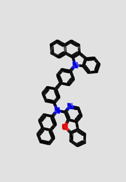 c1cc(-c2ccc(-n3c4ccccc4c4ccc5ccccc5c43)cc2)cc(N(c2ccc3ccccc3c2)c2nccc3c2oc2ccccc23)c1